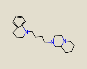 c1ccc2c(c1)CCCN2CCCCN1CCN2CCCCC2C1